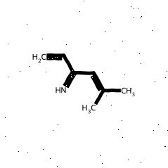 C=CC(=N)C=C(C)C